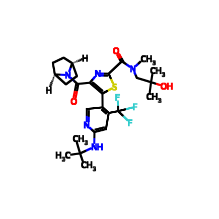 CN(CC(C)(C)O)C(=O)c1nc(C(=O)N2[C@H]3CC[C@@H]2CC3)c(-c2cnc(NC(C)(C)C)cc2C(F)(F)F)s1